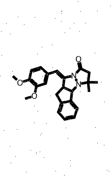 COc1ccc(/C=C2\C3Cc4ccccc4C3N3N2C(=O)CC3(C)C)cc1OC